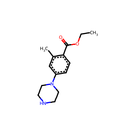 CCOC(=O)c1ccc(N2CCNCC2)cc1C